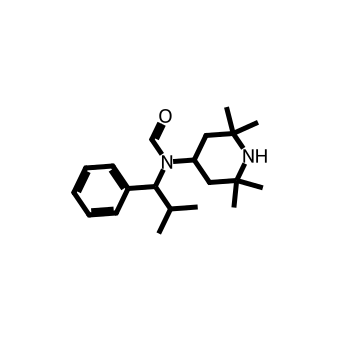 CC(C)C(c1ccccc1)N(C=O)C1CC(C)(C)NC(C)(C)C1